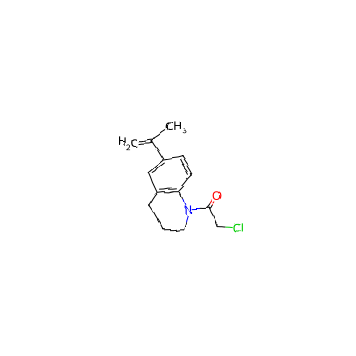 C=C(C)c1ccc2c(c1)CCCN2C(=O)CCl